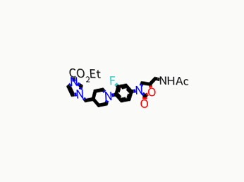 CCOC(=O)N1C=CN(CC2CCN(c3ccc(N4CC(CNC(C)=O)OC4=O)cc3F)CC2)C1